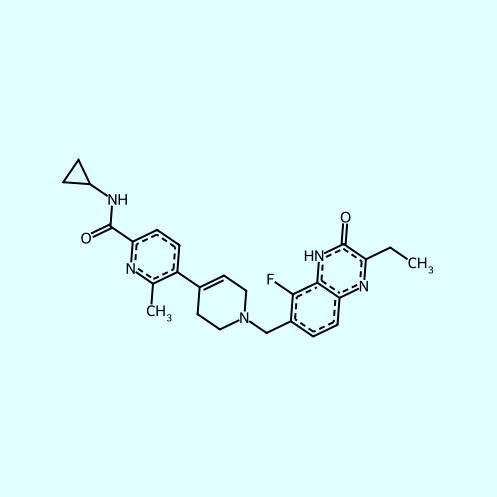 CCc1nc2ccc(CN3CC=C(c4ccc(C(=O)NC5CC5)nc4C)CC3)c(F)c2[nH]c1=O